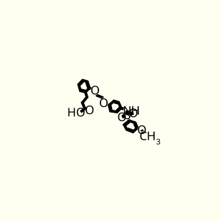 COc1cccc(S(=O)(=O)Nc2ccc(OCCOc3ccccc3CCC(=O)O)cc2)c1